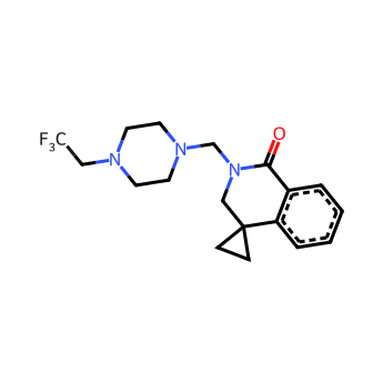 O=C1c2ccccc2C2(CC2)CN1CN1CCN(CC(F)(F)F)CC1